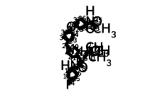 CC(C)(O)CCN(C(=O)Nc1ccc(F)cc1)C1CCN(Cc2ccc(Oc3ccc(NS(C)(=O)=O)cc3)cc2)CC1.Cl